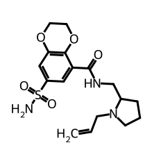 C=CCN1CCCC1CNC(=O)c1cc(S(N)(=O)=O)cc2c1OCCO2